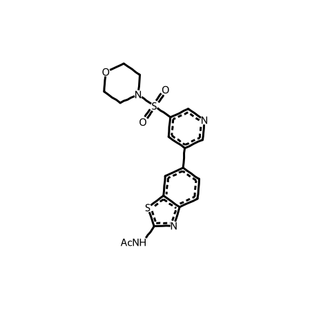 CC(=O)Nc1nc2ccc(-c3cncc(S(=O)(=O)N4CCOCC4)c3)cc2s1